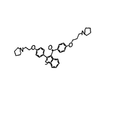 O=C(c1ccc(OCCCN2CCCC2)cc1)c1c(-c2ccc(OCCN3CCCC3)cc2)sc2ccccc12